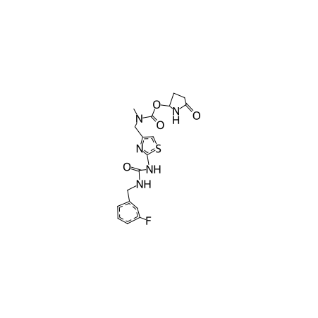 CN(Cc1csc(NC(=O)NCc2cccc(F)c2)n1)C(=O)OC1CCC(=O)N1